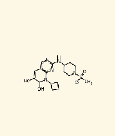 CS(=O)(=O)N1CCC(Nc2ncc3c(n2)N(C2CCC2)C(O)C(C#N)=C3)CC1